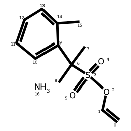 C=COS(=O)(=O)C(C)(C)c1ccccc1C.N